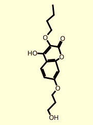 CCCCOc1c(O)c2ccc(OCCCO)cc2oc1=O